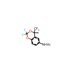 CC(=O)Nc1ccc2c(c1)C(C)(C(F)(F)F)OC(F)(F)O2